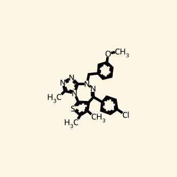 COc1cccc(CN2N=C(c3ccc(Cl)cc3)c3c(sc(C)c3C)-n3c(C)nnc32)c1